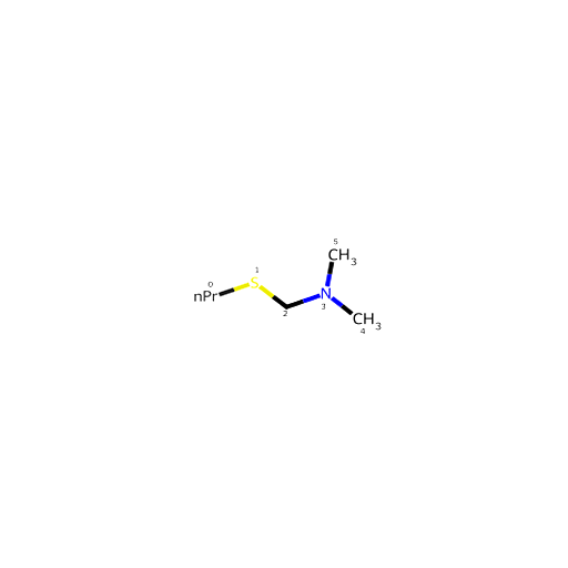 CCCSCN(C)C